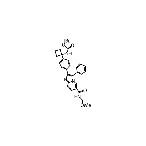 COCNC(=O)c1ccc2nc(-c3ccc(C4(NC(=O)OC(C)(C)C)CCC4)cc3)c(-c3ccccc3)n2c1